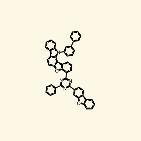 c1ccc(-c2cccc(-n3c4ccccc4c4ccc5oc6c(-c7nc(-c8ccccc8)nc(-c8ccc9c(c8)oc8ccccc89)n7)cccc6c5c43)c2)cc1